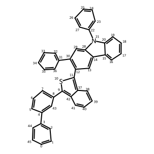 c1ccc(-c2cccc(-c3sc(-c4cc5c6ccccc6n(-c6ccccc6)c5cc4-c4ccccc4)c4ccccc34)c2)cc1